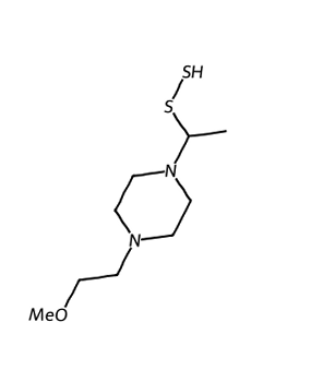 COCCN1CCN(C(C)SS)CC1